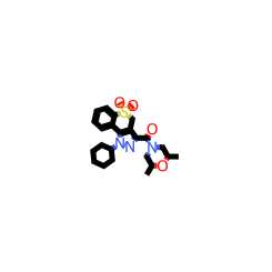 CC1CN(C(=O)c2nn(C3CCCCC3)c3c2CS(=O)(=O)c2ccccc2-3)CC(C)O1